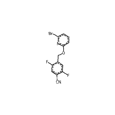 N#Cc1cc(F)c(COc2cccc(Br)n2)cc1F